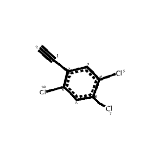 C#Cc1cc(Cl)c(Cl)cc1Cl